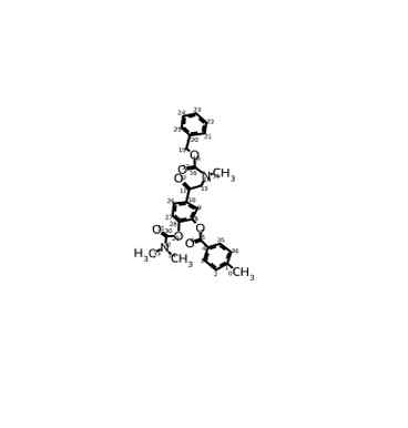 Cc1ccc(C(=O)Oc2cc(C(=O)CN(C)C(=O)OCc3ccccc3)ccc2OC(=O)N(C)C)cc1